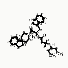 CC(C)(CC(=O)N[C@H](Cc1c[nH]c2ccccc12)C(=O)N1CCC2(CCc3ccccc32)CC1)NC(CO)CO